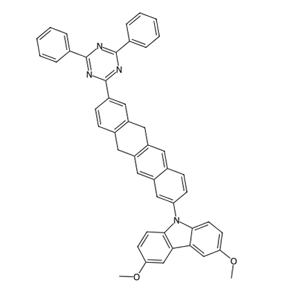 COc1ccc2c(c1)c1cc(OC)ccc1n2-c1ccc2cc3c(cc2c1)Cc1ccc(-c2nc(-c4ccccc4)nc(-c4ccccc4)n2)cc1C3